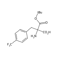 CC(C)(C)OC(=O)C(N)(Cc1ccc(C(F)(F)F)cc1)C(=O)O